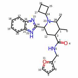 CC1C(C(=O)NCc2ccco2)CC(c2nc3ccccc3[nH]2)N(C2CCC2)C1C